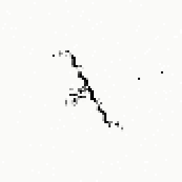 CCCCOCCOCCOCCO.O=S(=O)(O)O